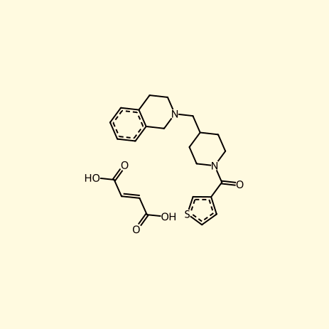 O=C(O)C=CC(=O)O.O=C(c1ccsc1)N1CCC(CN2CCc3ccccc3C2)CC1